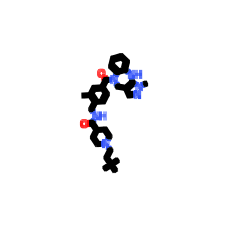 Cc1cc(C(=O)N2Cc3cnn(C)c3Nc3ccccc32)ccc1CNC(=O)C1CCN(CCC(C)(C)C)CC1